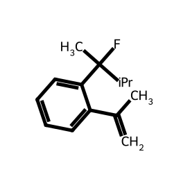 C=C(C)c1ccccc1C(C)(F)C(C)C